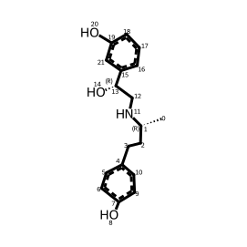 C[C@H](CCc1ccc(O)cc1)NC[C@H](O)c1cccc(O)c1